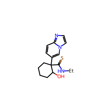 CCNC(=S)C1(c2ccc3nccn3c2)CCCCC1O